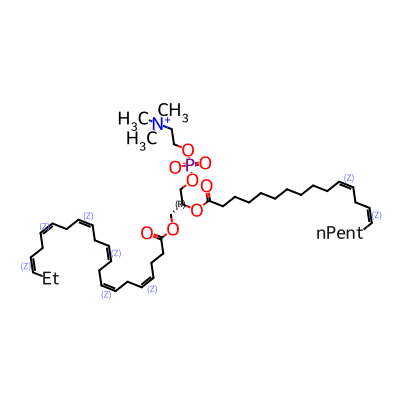 CC/C=C\C/C=C\C/C=C\C/C=C\C/C=C\C/C=C\CCC(=O)OC[C@H](COP(=O)([O-])OCC[N+](C)(C)C)OC(=O)CCCCCCCCC/C=C\C/C=C\CCCCC